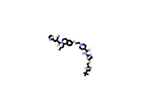 CCCC1c2ccc(OCCN3CCC(C(=O)Nc4ncc(SCc5ncc(C(C)(C)C)o5)s4)CC3)cc2CCN1C(=O)C(C#N)=Cc1nccs1